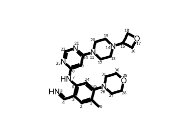 Cc1cc(C=N)c(Nc2cc(N3CCN(C4COC4)CC3)ncn2)cc1N1CCOCC1